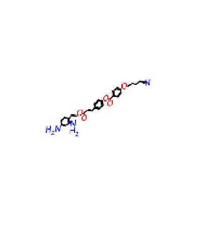 N#CCCCCOc1ccc(C(=O)Oc2ccc(C=CC(=O)OCCc3ccc(N)cc3N)cc2)cc1